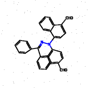 O=Cc1ccc(N(N=C(c2ccccc2)c2ccccc2)c2ccc(C=O)c3ccccc23)cc1